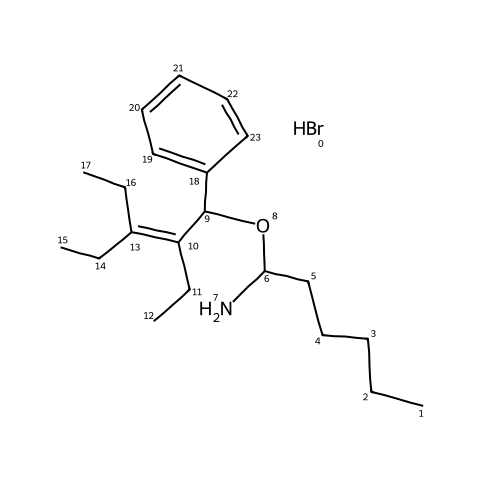 Br.CCCCCC(N)OC(C(CC)=C(CC)CC)c1ccccc1